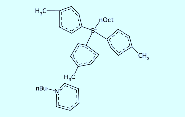 CCCCCCCC[B-](c1ccc(C)cc1)(c1ccc(C)cc1)c1ccc(C)cc1.CCCC[n+]1ccccc1